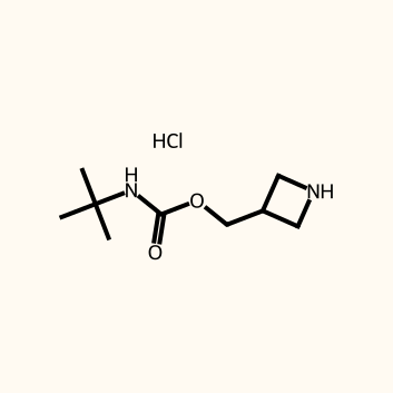 CC(C)(C)NC(=O)OCC1CNC1.Cl